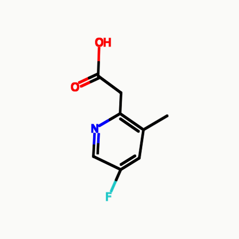 Cc1cc(F)cnc1CC(=O)O